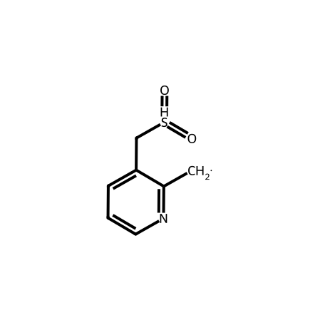 [CH2]c1ncccc1C[SH](=O)=O